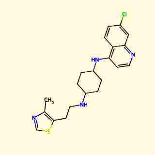 Cc1ncsc1CCNC1CCC(Nc2ccnc3cc(Cl)ccc23)CC1